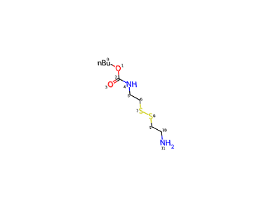 CCCCOC(=O)NCCSSCCN